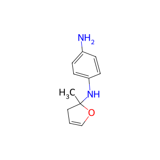 CC1(Nc2ccc(N)cc2)CC=CO1